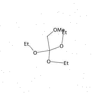 CCOC(COC)(OCC)OCC